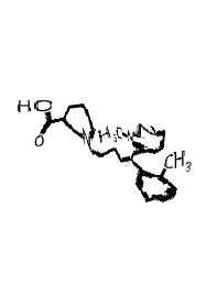 Cc1ccccc1/C(=C/CCN1CCCC(C(=O)O)C1)c1ccnn1C